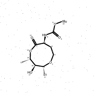 CC[C@H]1OCC[C@H](NC(=O)OC(C)(C)C)C(=O)O[C@@H](C)[C@@H]1O